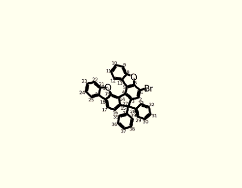 Brc1cc2c(c3c1oc1ccccc13)-c1c(ccc3c1oc1ccccc13)C2(c1ccccc1)c1ccccc1